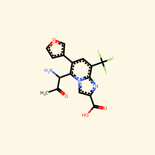 CC(=O)C(N)c1c(-c2ccoc2)cc(C(F)(F)F)c2nc(C(=O)O)cn12